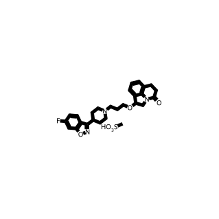 CS(=O)(=O)O.O=C1CCc2cccc3c2N1CC3OCCCN1CCC(c2noc3cc(F)ccc23)CC1